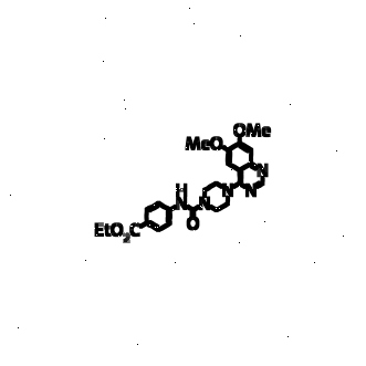 CCOC(=O)c1ccc(NC(=O)N2CCN(c3ncnc4cc(OC)c(OC)cc34)CC2)cc1